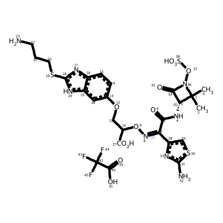 CC1(C)[C@H](NC(=O)/C(=N\OC(COc2ccc3nc(SCCCN)[nH]c3c2)C(=O)O)c2csc(N)n2)C(=O)N1OS(=O)(=O)O.O=C(O)C(F)(F)F